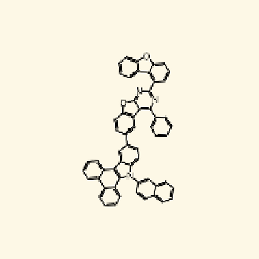 c1ccc(-c2nc(-c3cccc4oc5ccccc5c34)nc3oc4ccc(-c5ccc6c(c5)c5c7ccccc7c7ccccc7c5n6-c5ccc6ccccc6c5)cc4c23)cc1